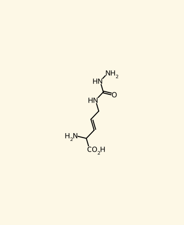 NNC(=O)NCC=CC(N)C(=O)O